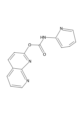 O=C(Nc1ccccn1)Oc1ccc2cccnc2n1